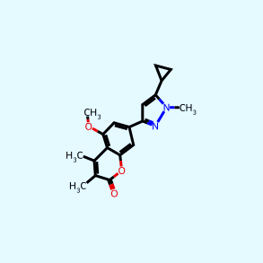 COc1cc(-c2cc(C3CC3)n(C)n2)cc2oc(=O)c(C)c(C)c12